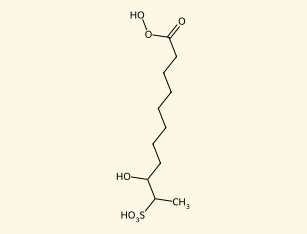 CC(C(O)CCCCCCCC(=O)OO)S(=O)(=O)O